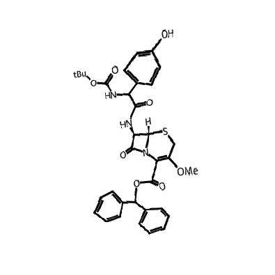 COC1=C(C(=O)OC(c2ccccc2)c2ccccc2)N2C(=O)[C@@H](NC(=O)C(NC(=O)OC(C)(C)C)c3ccc(O)cc3)[C@@H]2SC1